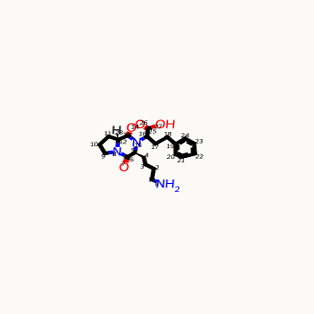 NCCCC[C@H]1C(=O)N2CCC[C@H]2C(=O)N1C(CCc1ccccc1)C(=O)O